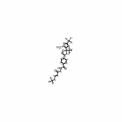 Cn1nc(C(F)(F)F)cc1C1(C(F)(F)F)CC(c2ccc(C(=O)NCC(=O)/C=C/CC(F)(F)F)cc2)=NO1